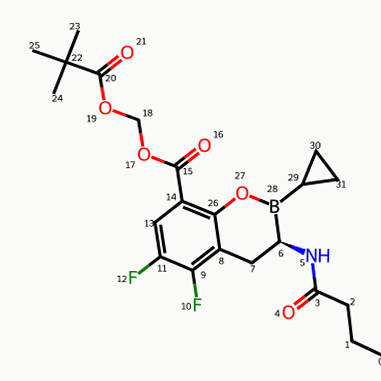 CCCC(=O)N[C@H]1Cc2c(F)c(F)cc(C(=O)OCOC(=O)C(C)(C)C)c2OB1C1CC1